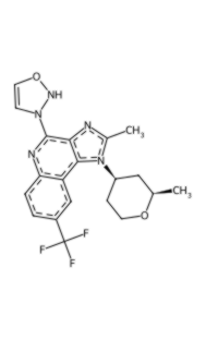 Cc1nc2c(N3C=CON3)nc3ccc(C(F)(F)F)cc3c2n1[C@@H]1CCO[C@H](C)C1